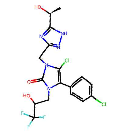 C[C@H](O)c1nc(Cn2c(Cl)c(-c3ccc(Cl)cc3)n(CC(O)C(F)(F)F)c2=O)n[nH]1